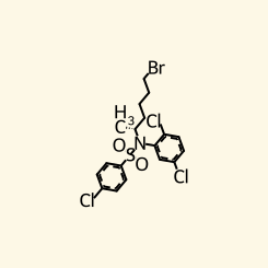 C[C@H](CCCCBr)N(c1cc(Cl)ccc1Cl)S(=O)(=O)c1ccc(Cl)cc1